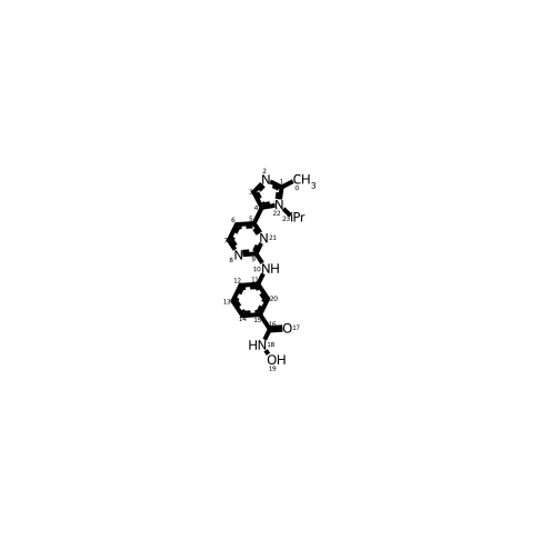 Cc1ncc(-c2ccnc(Nc3cccc(C(=O)NO)c3)n2)n1C(C)C